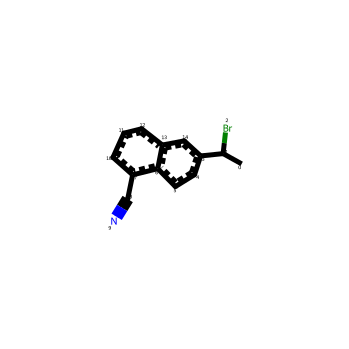 CC(Br)c1ccc2c(C#N)cccc2c1